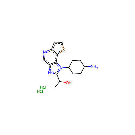 CC(O)c1nc2cnc3ccsc3c2n1C1CCC(N)CC1.Cl.Cl